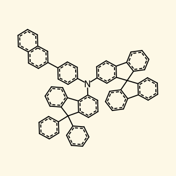 c1ccc(C2(c3ccccc3)c3ccccc3-c3c(N(c4ccc(-c5ccc6ccccc6c5)cc4)c4ccc5c(c4)C4(c6ccccc6-c6ccccc64)c4ccccc4-5)cccc32)cc1